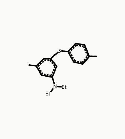 CCN(CC)c1cc(I)cc(Sc2ccc(C)cc2)c1